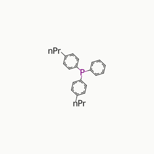 CCCc1ccc(P(c2ccccc2)c2ccc(CCC)cc2)cc1